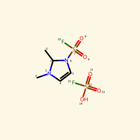 CC1N(C)C=CN1S(=O)(=O)F.O=S(=O)(O)F